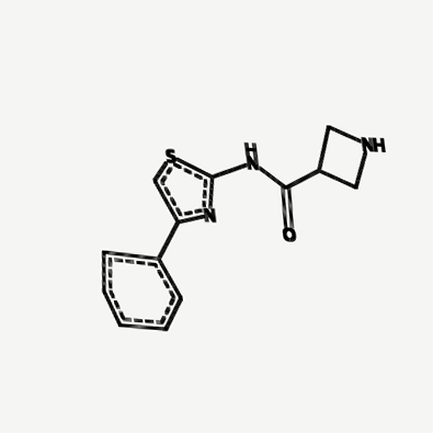 O=C(Nc1nc(-c2ccccc2)cs1)C1CNC1